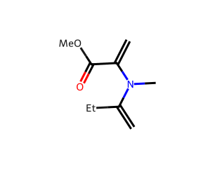 C=C(CC)N(C)C(=C)C(=O)OC